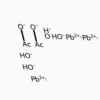 CC(=O)[O-].CC(=O)[O-].[OH-].[OH-].[OH-].[OH-].[Pb+2].[Pb+2].[Pb+2]